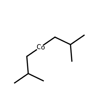 CC(C)[CH2][Co][CH2]C(C)C